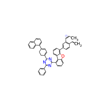 C=Cc1ccc(-c2cccc3c2oc2cccc(-c4nc(C5=CC=C(c6cccc7ccccc67)CC5)nc(-c5ccccc5)n4)c23)cc1/C=C\C